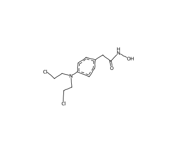 O=C(Cc1ccc(N(CCCl)CCCl)cc1)NO